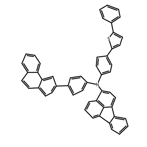 c1ccc(-c2ccc(-c3ccc(N(c4ccc(-c5ccc6ccc7ccccc7c6c5)cc4)c4ccc5c6c(cccc46)-c4ccccc4-5)cc3)s2)cc1